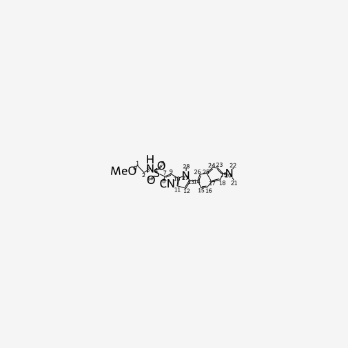 COCCNS(=O)(=O)/C(C#N)=C/c1ccc(-c2ccc3cc(N(C)C)ccc3c2)n1C